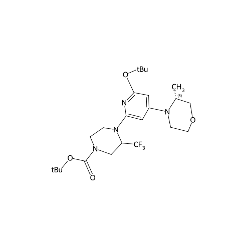 C[C@@H]1COCCN1c1cc(OC(C)(C)C)nc(N2CCN(C(=O)OC(C)(C)C)CC2C(F)(F)F)c1